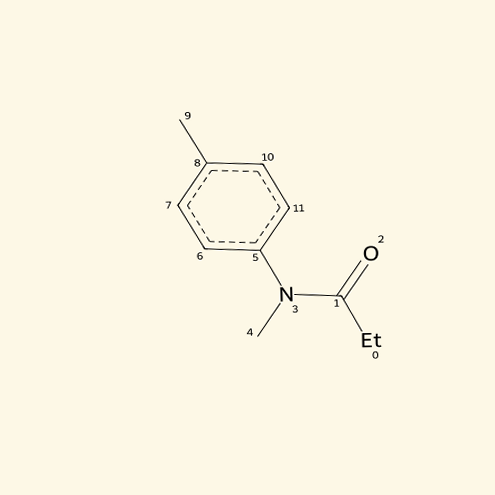 CCC(=O)N(C)c1ccc(C)cc1